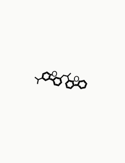 CC(C)c1ccc2oc3c(CC(C)c4cccc5c4oc4ccccc45)cccc3c2c1